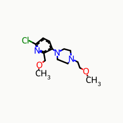 COCCN1CCN(c2ccc(Cl)nc2COC)CC1